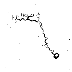 CCCCC(CCCC(CC)OCCOCCOCCOCCOCc1ccccc1)C(=O)O